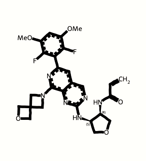 C=CC(=O)N[C@H]1COC[C@H]1Nc1ncc2cc(-c3c(F)c(OC)cc(OC)c3F)nc(N3CC4(COC4)C3)c2n1